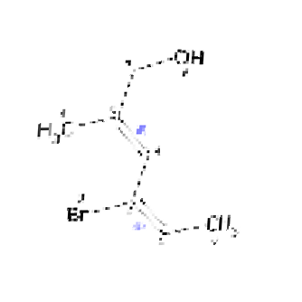 C/C=C(Br)\C=C(/C)CO